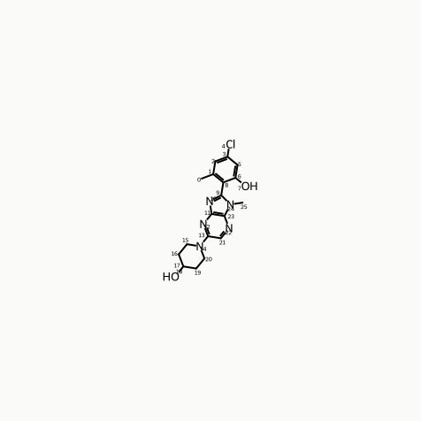 Cc1cc(Cl)cc(O)c1-c1nc2nc(N3CCC(O)CC3)cnc2n1C